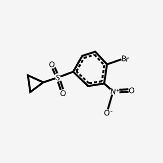 O=[N+]([O-])c1cc(S(=O)(=O)C2CC2)ccc1Br